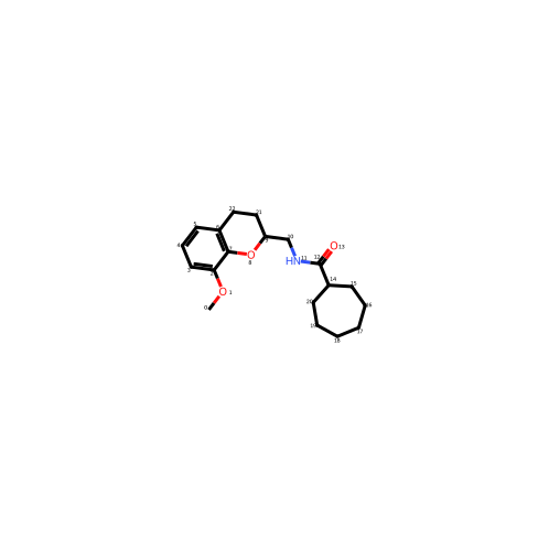 COc1cccc2c1OC(CNC(=O)C1CCCCCC1)CC2